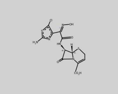 Nc1nc(/C(=N/O)C(=O)N[C@@H]2C(=O)N3C(C(=O)O)=CCS[C@@H]23)c(Cl)s1